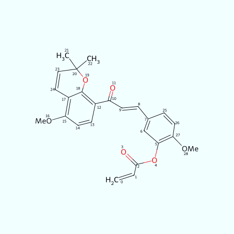 C=CC(=O)Oc1cc(C=CC(=O)c2ccc(OC)c3c2OC(C)(C)C=C3)ccc1OC